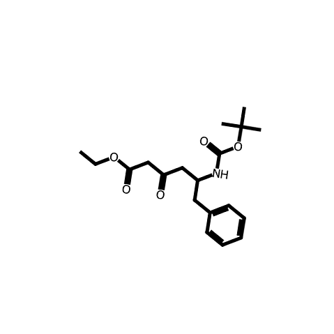 CCOC(=O)CC(=O)CC(Cc1ccccc1)NC(=O)OC(C)(C)C